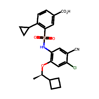 C[C@@H](Oc1cc(Cl)c(C#N)cc1NS(=O)(=O)c1cc(C(=O)O)ccc1C1CC1)C1CCC1